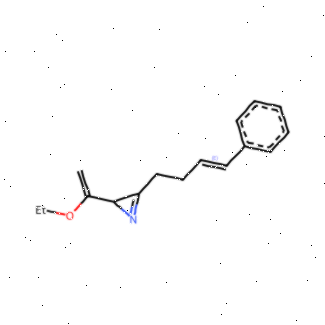 C=C(OCC)C1N=C1CC/C=C/c1ccccc1